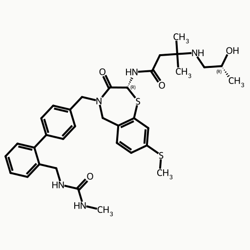 CNC(=O)NCc1ccccc1-c1ccc(CN2Cc3ccc(SC)cc3S[C@@H](NC(=O)CC(C)(C)NC[C@@H](C)O)C2=O)cc1